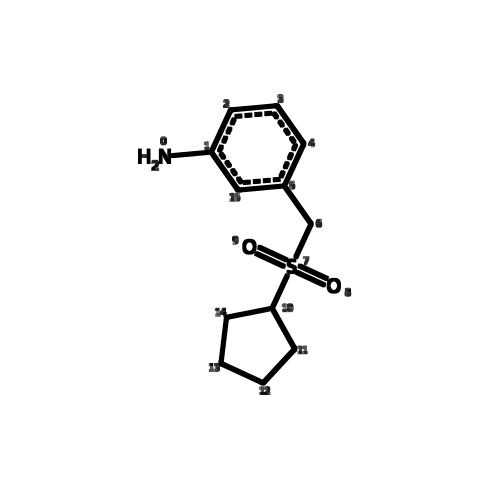 Nc1cccc(CS(=O)(=O)C2CCCC2)c1